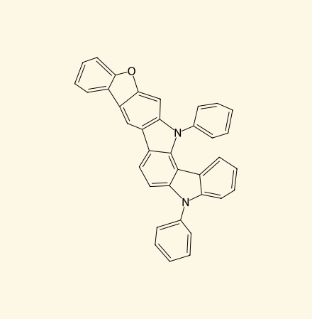 c1ccc(-n2c3ccccc3c3c2ccc2c4cc5c(cc4n(-c4ccccc4)c23)oc2ccccc25)cc1